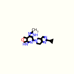 Cc1nc(C2CCOC2)c(/C(=N\C=N)N2CCc3nc(C4CC4)ncc3C2)[nH]1